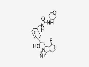 O=C(NCC1C2CC3CC1CC(C(O)CC1c4c(F)cccc4-c4cncn41)(C3)C2)NC1CCOCC1